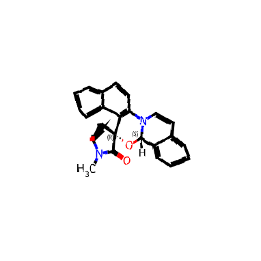 CN1C(=O)[C@@]2(O[C@H]3c4ccccc4C=CN3c3ccc4ccccc4c32)c2ccccc21